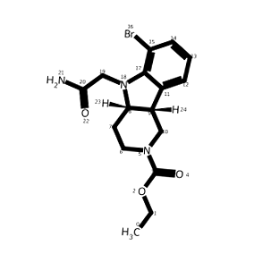 CCOC(=O)N1CC[C@H]2[C@@H](C1)c1cccc(Br)c1N2CC(N)=O